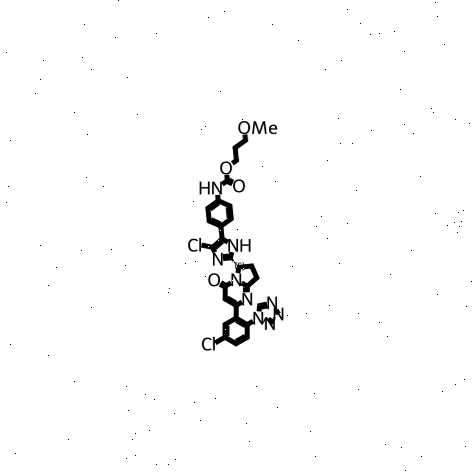 COCCCOC(=O)Nc1ccc(-c2[nH]c([C@@H]3CCc4nc(-c5cc(Cl)ccc5-n5cnnn5)cc(=O)n43)nc2Cl)cc1